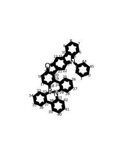 c1ccc(-n2c3ccccc3c3cc4oc5ccc6c(c5c4cc32)-c2ccccc2N2B6c3ccccc3-c3ccccc32)cc1